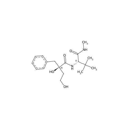 CNC(=O)[C@@H](NC(=O)[C@](O)(CCO)Cc1ccccc1)C(C)(C)C